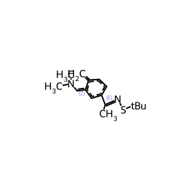 C=c1ccc(/C(C)=N/SC(C)(C)C)c/c1=C/N(C)C